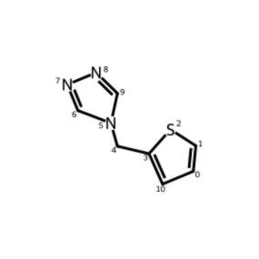 c1csc(Cn2cnnc2)c1